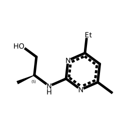 CCc1cc(C)nc(N[C@@H](C)CO)n1